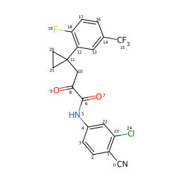 N#Cc1ccc(NC(=O)C(=O)CC2(c3cc(C(F)(F)F)ccc3F)CC2)cc1Cl